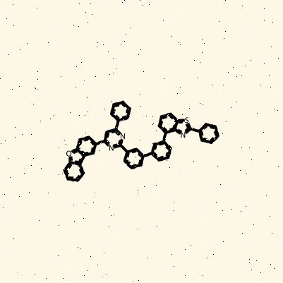 c1ccc(-c2cc(-c3ccc4oc5ccccc5c4c3)nc(-c3cccc(-c4cccc(-c5cccc6sc(-c7ccccc7)nc56)c4)c3)n2)cc1